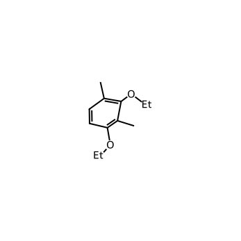 CCOc1ccc(C)c(OCC)c1C